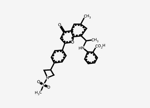 Cc1cc(C(C)Nc2ccccc2C(=O)O)c2oc(-c3ccc(C4CN(S(C)(=O)=O)C4)cc3)cc(=O)c2c1